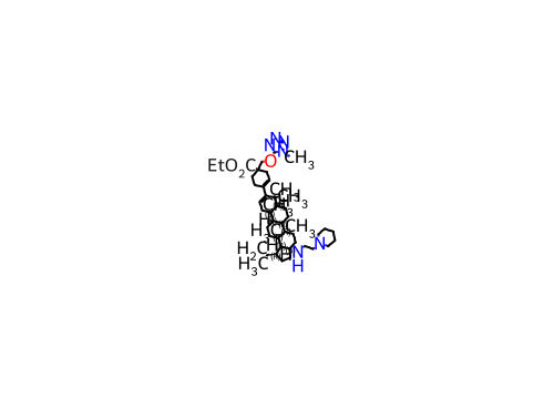 C=C(C)[C@@H]1CC[C@]2(NCCN3CCCCC3)CC[C@]3(C)[C@H](CC[C@@H]4[C@@]5(C)CC=C(C6=CCC(COc7nnnn7C)(C(=O)OCC)CC6)C(C)(C)[C@@H]5CC[C@]43C)[C@@H]12